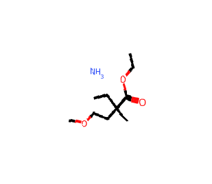 CCOC(=O)C(C)(CC)CCOC.N